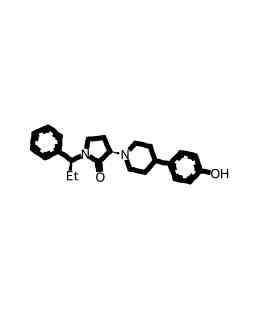 CC[C@@H](c1ccccc1)N1CC[C@H](N2CCC(c3ccc(O)cc3)CC2)C1=O